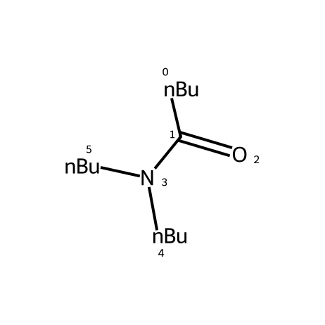 [CH2]CCCC(=O)N(CCCC)CCCC